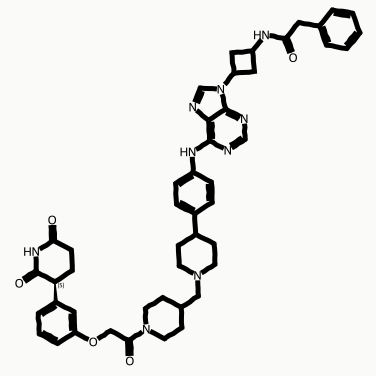 O=C1CC[C@@H](c2cccc(OCC(=O)N3CCC(CN4CCC(c5ccc(Nc6ncnc7c6ncn7C6CC(NC(=O)Cc7ccccc7)C6)cc5)CC4)CC3)c2)C(=O)N1